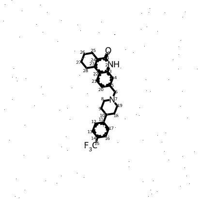 O=c1[nH]c2cc(CN3CCC(c4ccc(C(F)(F)F)cc4)CC3)ccc2c2c1CCCC2